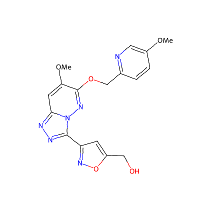 COc1ccc(COc2nn3c(-c4cc(CO)on4)nnc3cc2OC)nc1